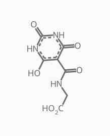 O=C(O)CNC(=O)c1c(O)[nH]c(=O)[nH]c1=O